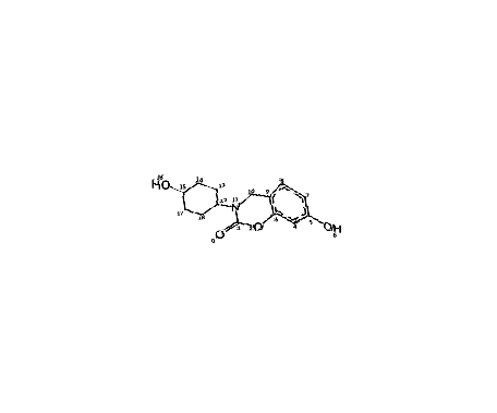 O=C1Oc2cc(O)ccc2CN1C1CCC(O)CC1